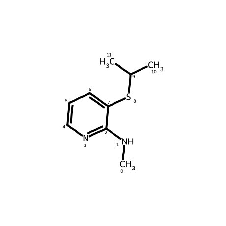 CNc1ncccc1SC(C)C